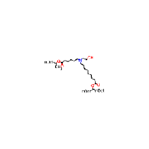 CCCCCCCCC(C)OC(=O)CCCCCN(CCO)CCCCCCCCC(=O)OC(CCCCCCCC)CCCCCCCC